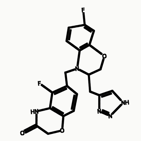 O=C1COc2ccc(CN3c4ccc(F)cc4OCC3Cc3c[nH]nn3)c(F)c2N1